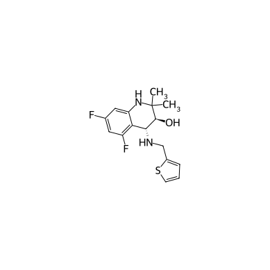 CC1(C)Nc2cc(F)cc(F)c2[C@@H](NCc2cccs2)[C@@H]1O